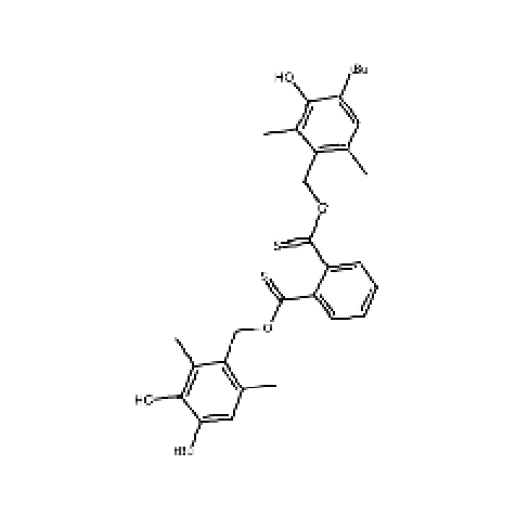 Cc1cc(C(C)(C)C)c(O)c(C)c1COC(=S)c1ccccc1C(=S)OCc1c(C)cc(C(C)(C)C)c(O)c1C